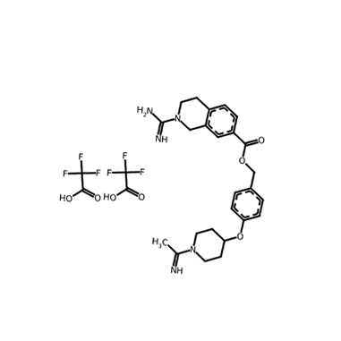 CC(=N)N1CCC(Oc2ccc(COC(=O)c3ccc4c(c3)CN(C(=N)N)CC4)cc2)CC1.O=C(O)C(F)(F)F.O=C(O)C(F)(F)F